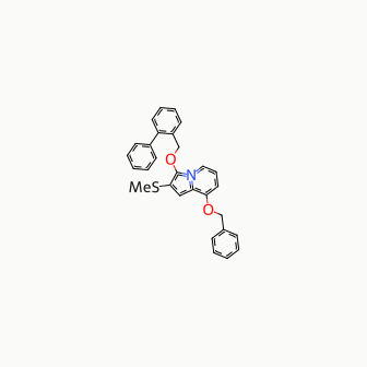 CSc1cc2c(OCc3ccccc3)cccn2c1OCc1ccccc1-c1ccccc1